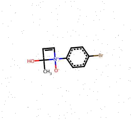 CC1(O)C=C[N+]1([O-])c1ccc(Br)cc1